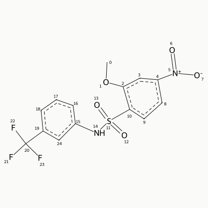 COc1cc([N+](=O)[O-])ccc1S(=O)(=O)Nc1cccc(C(F)(F)F)c1